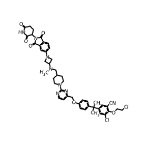 CN(CC1CCN(c2nccc(COc3ccc(C(C)(C)c4cc(Cl)c(OCCCl)c(C#N)c4)cc3)n2)CC1)C1CN(c2ccc3c(c2)C(=O)N(C2CCC(=O)NC2=O)C3=O)C1